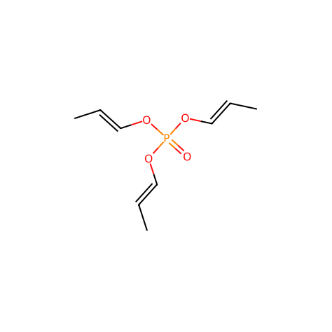 CC=COP(=O)(OC=CC)OC=CC